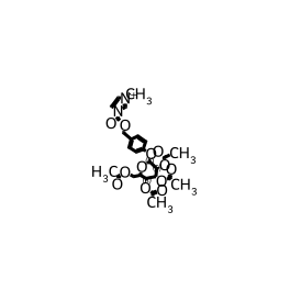 CC(=O)OCC1O[C@@H](Oc2ccc(COC(=O)n3cc[n+](C)c3)cc2)[C@@H](OC(C)=O)C(OC(C)=O)[C@@H]1OC(C)=O